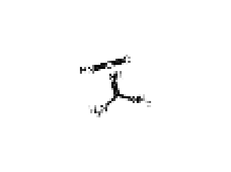 N=C(N)N.N=C=O